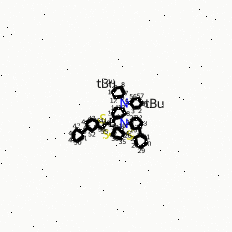 CC(C)(C)c1ccc(N(c2ccc(C(C)(C)C)cc2)c2ccc3c(c2)N(c2cccc4c2sc2ccccc24)c2cccc4c2B3c2sc3ccc(-c5ccccc5)cc3c2S4)cc1